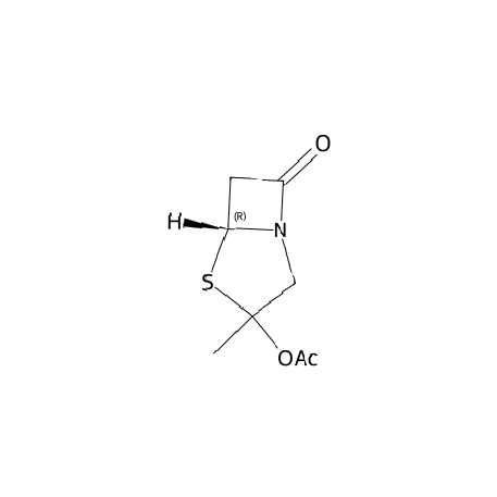 CC(=O)OC1(C)CN2C(=O)C[C@H]2S1